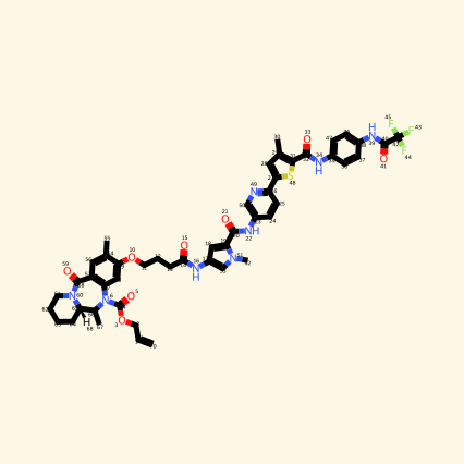 C=CCOC(=O)N1c2cc(OCCCC(=O)Nc3cc(C(=O)Nc4ccc(-c5cc(C)c(C(=O)Nc6ccc(NC(=O)C(F)(F)F)cc6)s5)nc4)n(C)c3)c(C)cc2C(=O)N2CCCC[C@H]2C1C